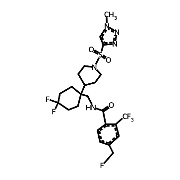 Cn1cc(S(=O)(=O)N2CCC(C3(CNC(=O)c4ccc(CF)cc4C(F)(F)F)CCC(F)(F)CC3)CC2)nn1